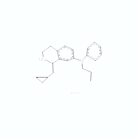 CCCN(c1ccccc1)c1ccc2c(c1)C(CC1CC1)NCC2.Cl